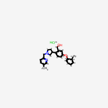 Cc1ccc(CN2CCC(c3ccc(Oc4ccccc4C(C)C)cc3CO)C2)nc1.Cl